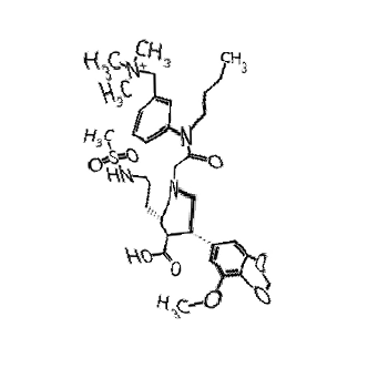 CCCCN(C(=O)CN1C[C@H](c2cc(OC)c3c(c2)OCO3)[C@@H](C(=O)O)[C@@H]1CCNS(C)(=O)=O)c1cccc(C[N+](C)(C)C)c1